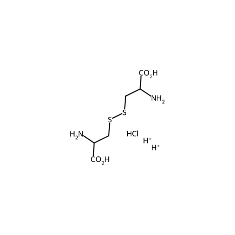 Cl.NC(CSSCC(N)C(=O)O)C(=O)O.[H+].[H+]